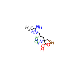 CC(=N)NCCCC(N)(CS)C(=O)O.Cl